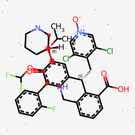 CC(C)Oc1cc([C@H](Cc2c(Cl)c[n+]([O-])cc2Cl)c2c(CNC(C(=O)O[C@H]3CN4CCC3CC4)c3ccccc3F)cccc2C(=O)O)ccc1OC(F)F